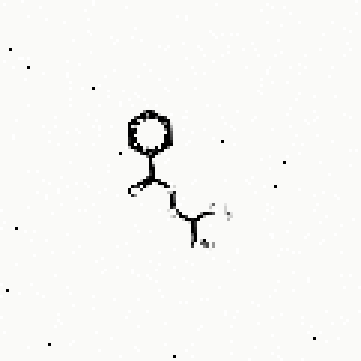 CCCCC(C)OOC(=O)c1ccccc1